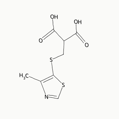 Cc1ncsc1SCC(C(=O)O)C(=O)O